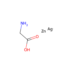 NCC(=O)O.[Ag].[Zn]